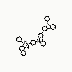 c1ccc(-c2nc(-c3ccc(-n4c5ccccc5c5cc(-c6ccc7c(c6)c6ccccc6n7-c6ccccc6)ccc54)cc3)nc3c2ccc2ccccc23)cc1